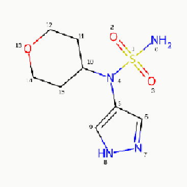 NS(=O)(=O)N(c1cn[nH]c1)C1CCOCC1